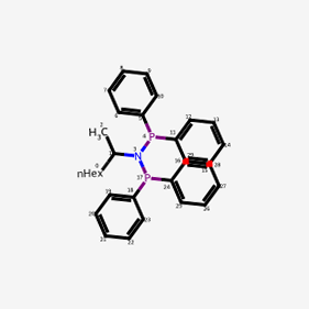 CCCCCCC(C)N(P(c1ccccc1)c1ccccc1)P(c1ccccc1)c1ccccc1